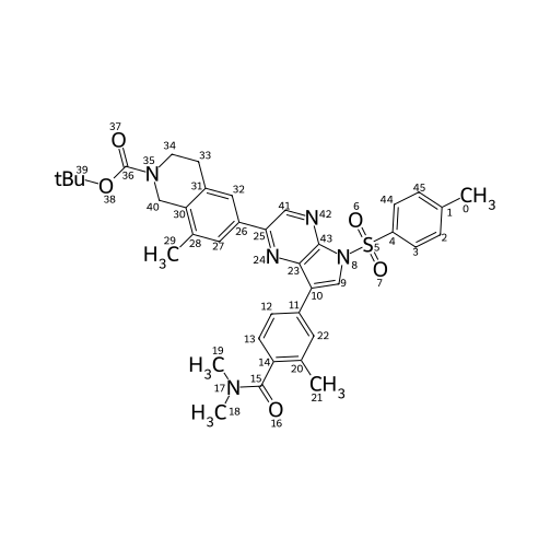 Cc1ccc(S(=O)(=O)n2cc(-c3ccc(C(=O)N(C)C)c(C)c3)c3nc(-c4cc(C)c5c(c4)CCN(C(=O)OC(C)(C)C)C5)cnc32)cc1